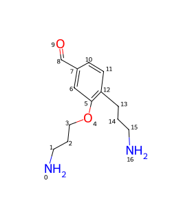 NCCCOc1cc(C=O)ccc1CCCN